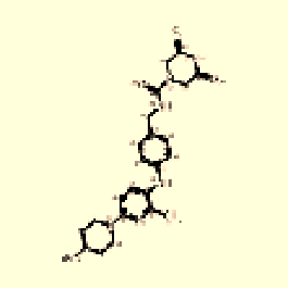 Cc1nc(N2CCC(C(C)C)CC2)ccc1Nc1ccc(CNC(=O)N2CC(=O)NC(=O)C2)cc1